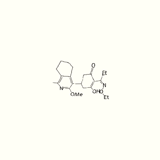 CCO/N=C(/CC)C1=C(O)CC(c2c(OC)nc(C)c3c2CCCC3)CC1=O